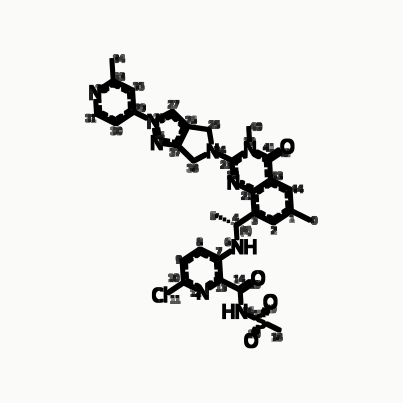 Cc1cc([C@@H](C)Nc2ccc(Cl)nc2C(=O)NS(C)(=O)=O)c2nc(N3Cc4cn(-c5ccnc(C)c5)nc4C3)n(C)c(=O)c2c1